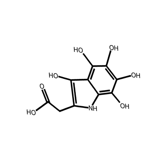 O=C(O)Cc1[nH]c2c(O)c(O)c(O)c(O)c2c1O